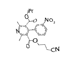 Cc1nc(C)c(C(=O)OC(C)C)c(-c2cccc([N+](=O)[O-])c2)c1C(=O)OCCCC#N